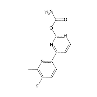 Cc1nc(-c2ccnc(OC(N)=O)n2)ccc1F